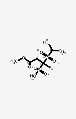 COC(=O)CC(F)(S(=O)(=O)O)S(=O)(=O)C(C)C